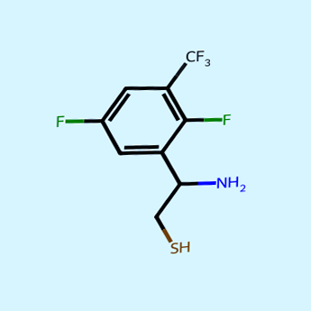 NC(CS)c1cc(F)cc(C(F)(F)F)c1F